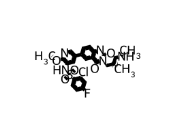 CNC(=O)[C@H](C)Cn1cnc2ccc(-c3cnc(OC)c(NS(=O)(=O)c4ccc(F)cc4Cl)c3)cc2c1=O